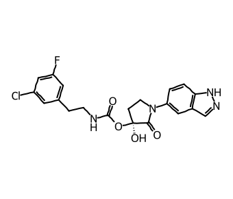 O=C(NCCc1cc(F)cc(Cl)c1)O[C@@]1(O)CCN(c2ccc3[nH]ncc3c2)C1=O